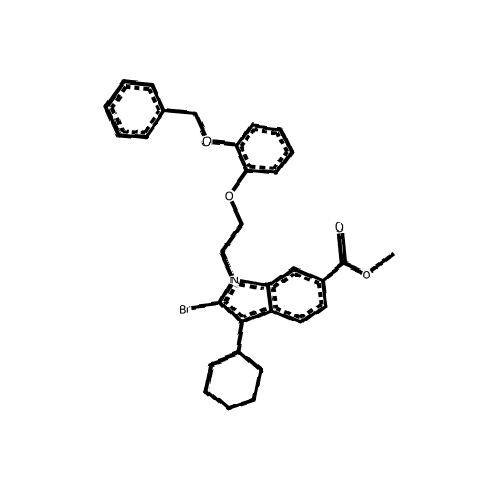 COC(=O)c1ccc2c(C3CCCCC3)c(Br)n(CCOc3ccccc3OCc3ccccc3)c2c1